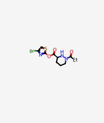 CCC(=O)N1CCCC(C(=O)Oc2nc(Br)cs2)N1